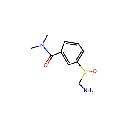 CN(C)C(=O)c1cccc([S+]([O-])CN)c1